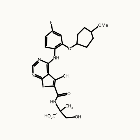 COC1CCC(Oc2cc(F)ccc2Nc2ncnc3sc(C(=O)N[C@@](C)(CO)C(=O)O)c(C)c23)CC1